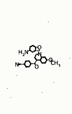 COc1ccc2c(C(=O)c3ccc(C#N)cc3)ccnc2c1.Nc1ccc2c(c1)CO2